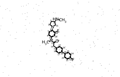 CNC1CCN(c2ccc(N(C)C(=O)Cc3ccc(-c4ccc(F)cc4)cc3)cc2F)C1